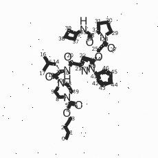 CCCCOC(=O)N1CCN(C(=O)[C@H](CC(C)C)NC(=O)c2cc(OCC(=O)N3CCC[C@H]3C(=O)NC3CCC3)n(-c3ccccc3)n2)CC1